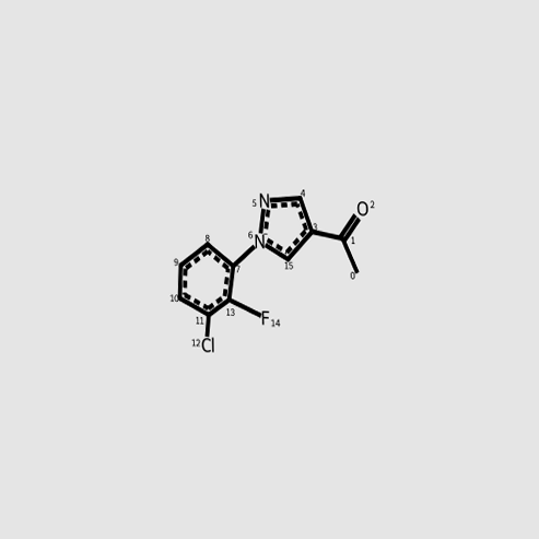 CC(=O)c1cnn(-c2cccc(Cl)c2F)c1